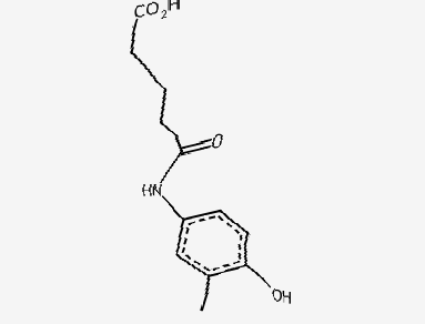 Cc1cc(NC(=O)CCCC(=O)O)ccc1O